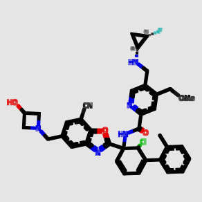 COCc1cc(C(=O)NC2(c3nc4cc(CN5CC(O)C5)cc(C#N)c4o3)C=CC=C(c3ccccc3C)C2Cl)ncc1CN[C@@H]1C[C@@H]1F